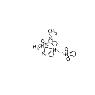 CCCn1cc(-n2c(-c3cn(CCCCN4C(=O)c5ccccc5C4=O)c4ccccc34)c(C#N)n(C)c2=O)c2ccccc21